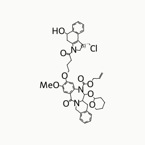 C=CCOC(=O)N1c2cc(OCCCC(=O)N3C[C@@H](CCl)C4=C3CC(O)c3ccccc34)c(OC)cc2C(=O)N2Cc3ccccc3CC2C1OC1CCCCO1